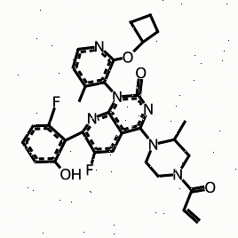 C=CC(=O)N1CCN(c2nc(=O)n(-c3c(C)ccnc3OC3CCC3)c3nc(-c4c(O)cccc4F)c(F)cc23)C(C)C1